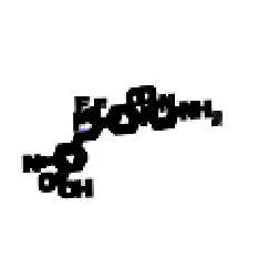 N#Cc1cc(/C=C/C(c2ccc(-n3ccc(N)nc3=O)c(Cl)c2)C(F)(F)F)ccc1C(=O)O